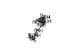 CCN(C(=O)Cn1c(C(=O)N[C@H]2CC[C@H](C(=O)NCCCCCCNC(=O)[C@H](CC(=O)O)NC(=O)[C@H](CC(=O)O)NC(=O)[C@H](CC(=O)O)NC(C)=O)CC2)cc2sccc21)c1cccc(C)c1